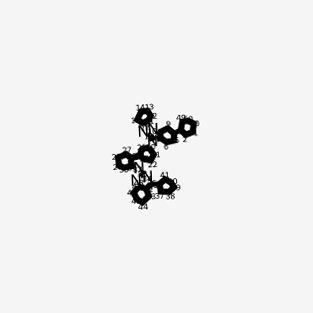 c1ccc(-c2ccc3c(c2)n2c4ccccc4nc2n3-c2ccc3c(c2)c2ccccc2n3-c2nc(-c3ccccc3)c3ccccc3n2)cc1